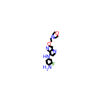 Nc1ccc(Nc2ccnc3cc(OCCN4CCOCC4)ncc23)cc1F